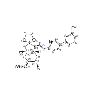 CO[C@H]1C[C@@H]2CC3(OCCO3)[C@@H](/C=C/c3ccc(-c4cccc(F)c4)cn3)[C@@H]2C[C@@H]1F